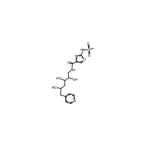 CS(=O)(=O)Nc1nc(C(=O)NCC(O)C(O)CC(C#N)Cc2ccncc2)co1